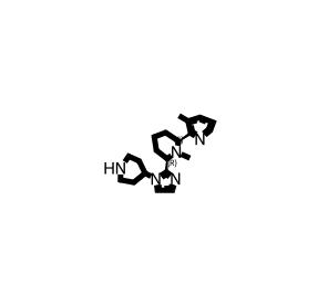 Cc1cccnc1[C@@H]1CCC[C@H](c2nccn2C2CCNCC2)N1C